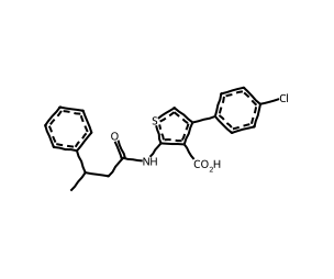 CC(CC(=O)Nc1scc(-c2ccc(Cl)cc2)c1C(=O)O)c1ccccc1